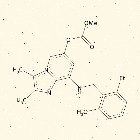 CCc1cccc(C)c1CNc1cc(OC(=O)OC)cn2c(C)c(C)nc12